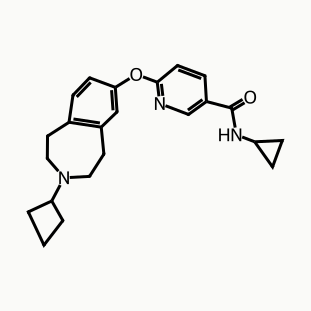 O=C(NC1CC1)c1ccc(Oc2ccc3c(c2)CCN(C2CCC2)CC3)nc1